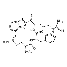 CC(=O)NC(CCC(N)=O)C(=O)NC(Cc1ccccc1)C(=O)NC(CCCNC(=N)N)C(=O)c1nc2ccccc2s1